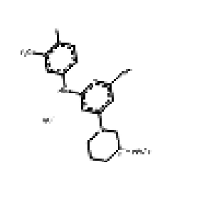 CCCc1cc(N2CCC[C@@H](NC(C)=O)C2)nc(Nc2ccc(F)c(C(F)(F)F)c2)n1.Cl